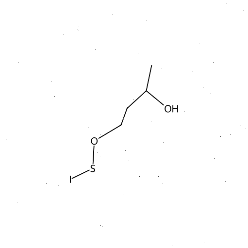 CC(O)CCOSI